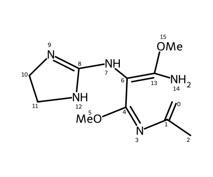 C=C(C)/N=C(OC)\C(NC1=NCCN1)=C(/N)OC